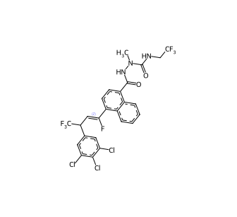 CN(NC(=O)c1ccc(/C(F)=C/C(c2cc(Cl)c(Cl)c(Cl)c2)C(F)(F)F)c2ccccc12)C(=O)NCC(F)(F)F